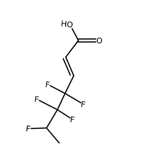 CC(F)C(F)(F)C(F)(F)C=CC(=O)O